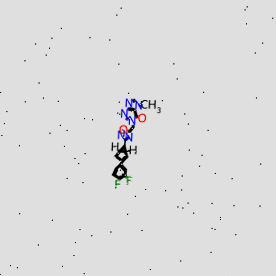 Cn1cnc2ncn(Cc3nc([C@H]4[C@@H]5C=C(c6ccc(F)c(F)c6)C[C@@H]54)no3)c(=O)c21